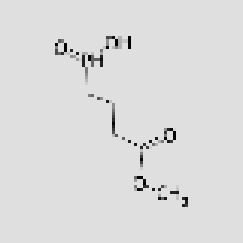 COC(=O)CCC[PH](=O)O